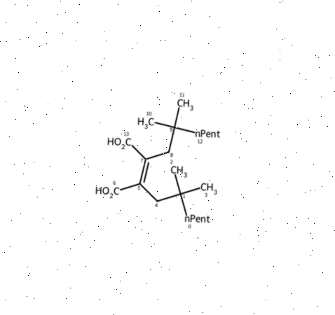 CCCCCC(C)(C)CC(C(=O)O)=C(CC(C)(C)CCCCC)C(=O)O